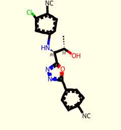 [C-]#[N+]c1ccc(-c2nnc([C@H](Nc3ccc([N+]#[C-])c(Cl)c3)[C@H](C)O)o2)cc1